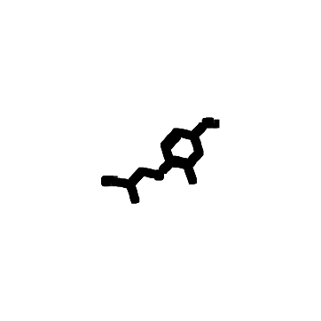 CC1=C(OCC(C)N=O)C=CC(C(C)(C)C)C1